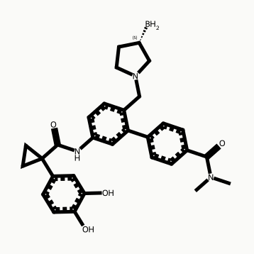 B[C@H]1CCN(Cc2ccc(NC(=O)C3(c4ccc(O)c(O)c4)CC3)cc2-c2ccc(C(=O)N(C)C)cc2)C1